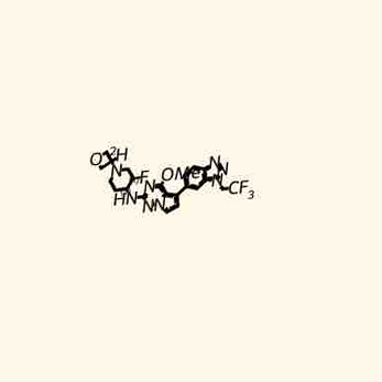 [2H]C1(N2CC[C@H](Nc3nc(OC)c4c(-c5ccc6nnn(CC(F)(F)F)c6c5)ccn4n3)[C@H](F)C2)COC1